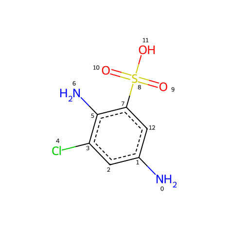 Nc1cc(Cl)c(N)c(S(=O)(=O)O)c1